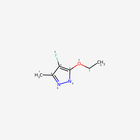 CCOC1=C(F)C(C)=N[N]1